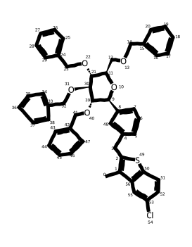 Cc1c(Cc2cccc([C@@H]3O[C@H](COCc4ccccc4)[C@@H](OCc4ccccc4)[C@H](OCc4ccccc4)[C@H]3OCc3ccccc3)c2)sc2ccc(Cl)cc12